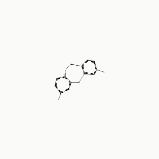 Cc1ccc2c(c1)Cc1cc(C)ccc1CC2